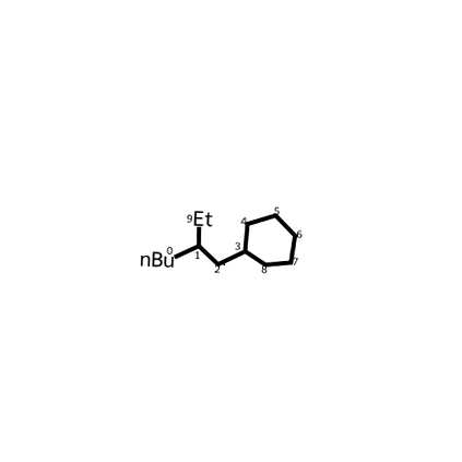 CCCCC([CH]C1CCCCC1)CC